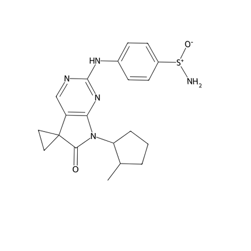 CC1CCCC1N1C(=O)C2(CC2)c2cnc(Nc3ccc([S+](N)[O-])cc3)nc21